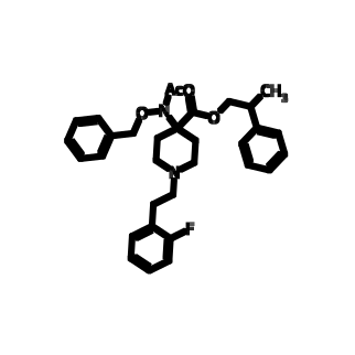 CC(=O)N(OCc1ccccc1)C1(C(=O)OCC(C)c2ccccc2)CCN(CCc2ccccc2F)CC1